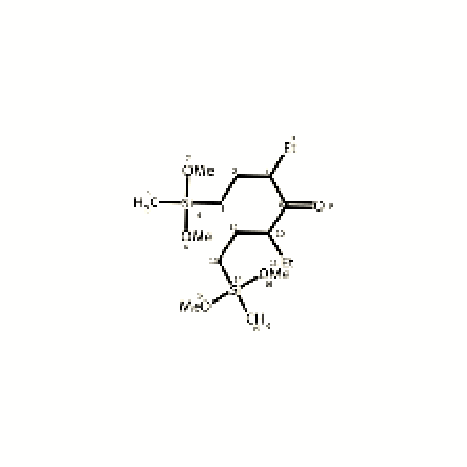 CCC(CC[Si](C)(OC)OC)C(=O)C(CC)CC[Si](C)(OC)OC